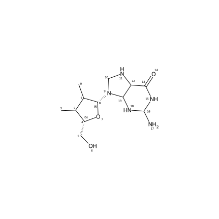 CC1C(C)[C@@H](CO)O[C@H]1N1CNC2C(=O)NC(N)NC21